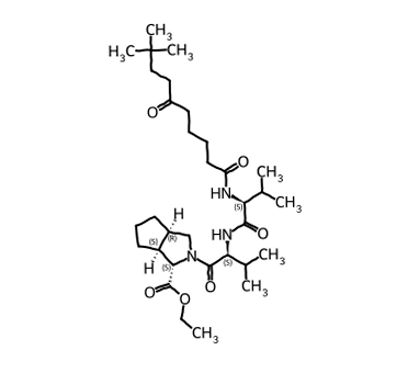 CCOC(=O)[C@@H]1[C@H]2CCC[C@H]2CN1C(=O)[C@@H](NC(=O)[C@@H](NC(=O)CCCCC(=O)CCC(C)(C)C)C(C)C)C(C)C